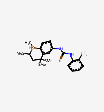 CSC1CC(SC)(SC)c2cc(NC(=S)Nc3ccccc3C(F)(F)F)ccc2[SH]1C